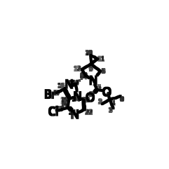 CC(C)(C)OC(=O)N1CC2(CC2)C[C@H]1c1nc(Br)c2c(Cl)nccn12